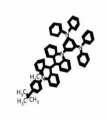 CC(C)(C)c1ccc(N2C3C=CC=CC3C(C3C4C=CC=CC4N(c4cc(N(c5ccccc5)c5ccccc5)cc(N(C5=CC=CCC5)C5C=CC=CC5)c4)C4C=CC=CC34)C3C=CC=CC32C)cc1